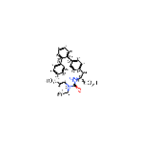 CC(C)CN(CCC(=O)O)C(=O)N[C@@H](Cc1ccc(-c2ccccc2-c2ccccc2)cc1)C(=O)O